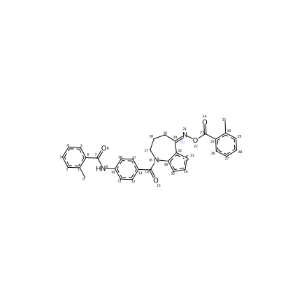 Cc1ccccc1C(=O)Nc1ccc(C(=O)N2CCC/C(=N/OC(=O)c3ccccc3C)c3sccc32)cc1